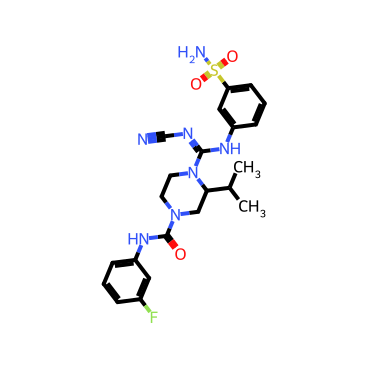 CC(C)C1CN(C(=O)Nc2cccc(F)c2)CCN1/C(=N\C#N)Nc1cccc(S(N)(=O)=O)c1